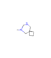 CN1CNCC2(CCC2)C1